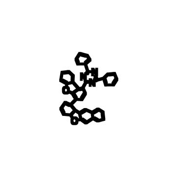 C1=CC2Oc3cc4ccccc4cc3C2C(c2ccc(-c3nc(-c4ccccc4)nc(-c4ccccc4)n3)c3c2oc2ccccc23)=C1